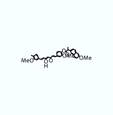 COc1ccc2cc(C(C)C(=O)Oc3ccc(/C=C/C(=O)/C=C(O)/C=C/c4ccc(C)c(OC)c4)cc3OC)ccc2c1